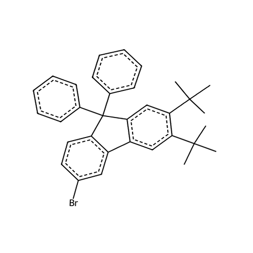 CC(C)(C)c1cc2c(cc1C(C)(C)C)C(c1ccccc1)(c1ccccc1)c1ccc(Br)cc1-2